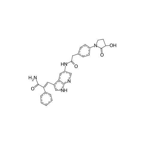 NC(=O)/C(=C/c1c[nH]c2ncc(NC(=O)Cc3ccc(N4CCC(O)C4=O)cc3)cc12)c1ccccc1